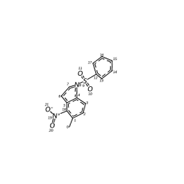 Cc1ccc2c(ccn2S(=O)(=O)c2ccccc2)c1[N+](=O)[O-]